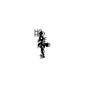 C[Si](C)(C)CCOCn1cc(C2(F)COC2)c2c(Oc3c(F)cc(NC(=O)O)cc3F)ccnc21